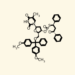 COc1ccc(C(OC[C@H]2O[C@@H](n3cc(C)c(=O)[nH]c3=O)C[C@@H]2OP2(=O)O[C@@H](c3ccccc3)C[C@H](c3ccccc3)S2)(c2ccccc2)c2ccc(OC)cc2)cc1